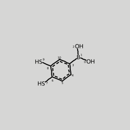 OB(O)c1ccc(S)c(S)c1